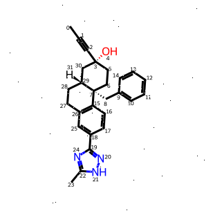 CC#C[C@@]1(O)CC[C@@]2(Cc3ccccc3)c3ccc(-c4n[nH]c(C)n4)cc3CC[C@@H]2C1